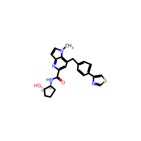 Cn1ccc2nc(C(=O)N[C@H]3CCC[C@@H]3O)cc(Cc3ccc(-c4cscn4)cc3)c21